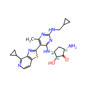 Cc1nc(NCC2CC2)nc(N[C@@H]2C[C@H](N)C(=O)[C@H]2O)c1-c1nc2c(C3CC3)nccc2s1